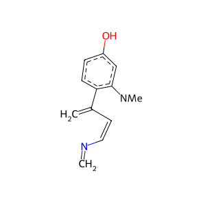 C=N/C=C\C(=C)c1ccc(O)cc1NC